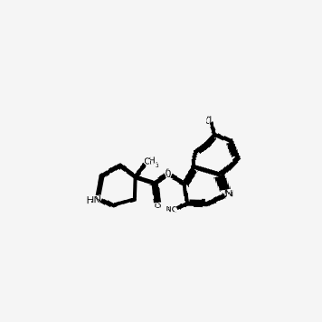 CC1(C(=O)Oc2c(C#N)cnc3ccc(Cl)cc23)CCNCC1